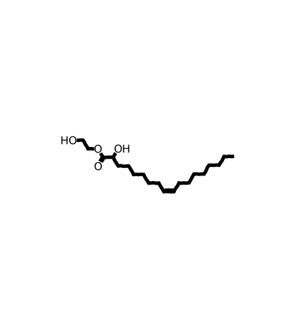 CCCCCCCC/C=C\CCCCCCC(O)C(=O)OCCO